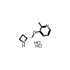 Cc1ncccc1OC[C@H]1CCN1.Cl.Cl